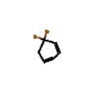 BrC1(Br)C=CC=[C]C1